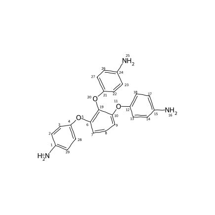 Nc1ccc(Oc2cccc(Oc3ccc(N)cc3)c2Oc2ccc(N)cc2)cc1